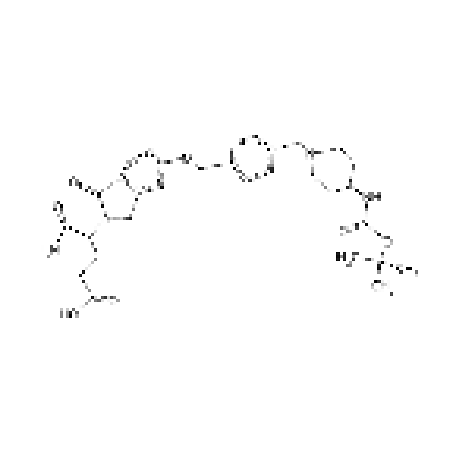 CC(C)(C)OC(=O)NC1CCN(Cc2ccc(COc3ccc4c(c3)CN(C(CCC(=O)O)C(N)=O)C4=O)cc2)CC1